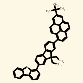 CCC1(CC)c2cc(-c3ccc4ccc5cc(C(C)(C)C)cc6ccc3c4c56)ccc2-c2ccc(-c3cccc4c3oc3ccccc34)cc21